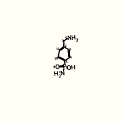 NCc1ccc(P(N)(=O)O)cc1